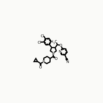 CC(Oc1ccc(C#N)cn1)C1CN(C(=O)C2CCN(C(=O)C3CC3)CC2)CC1c1ccc(Cl)c(Cl)c1